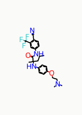 CCCC(C)(Nc1ccc(OCCN(C)C)cc1)C(=O)Nc1ccc(C#N)c(C(F)(F)F)c1